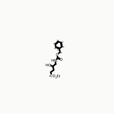 CCOC(=O)CCC(O)CNC(=O)OCc1ccccc1